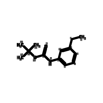 CCc1cccc(NC(=O)OC(C)(C)C)c1